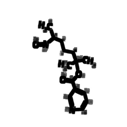 CC(CCCC(C)(C)OC(=O)c1cccnc1)N=O